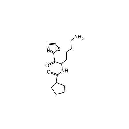 NCCCCC(NC(=O)C1CCCC1)C(=O)c1nccs1